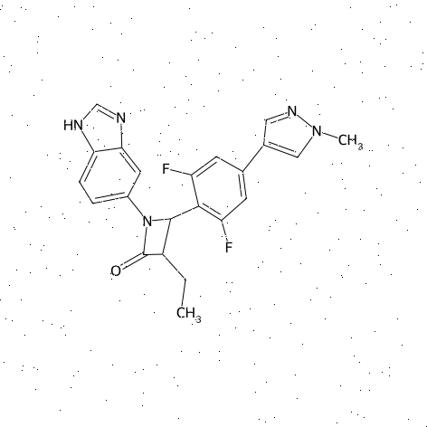 CCC1C(=O)N(c2ccc3[nH]cnc3c2)C1c1c(F)cc(-c2cnn(C)c2)cc1F